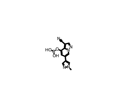 Cn1cc(-c2cc(OB(O)O)c3c(C#N)cnn3c2)cn1